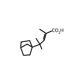 CC(=CC(C)(C)C12CCC(CC1)C2)C(=O)O